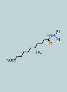 CCCCCCCCC=CCCCCCCCC(=O)NN(CC)CC.Cl